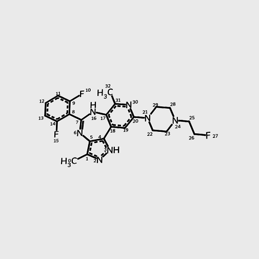 Cc1n[nH]c2c1N=C(c1c(F)cccc1F)Nc1c-2cc(N2CCN(CCF)CC2)nc1C